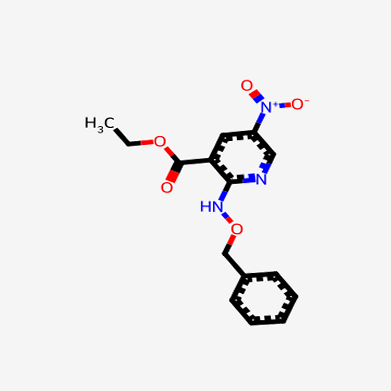 CCOC(=O)c1cc([N+](=O)[O-])cnc1NOCc1ccccc1